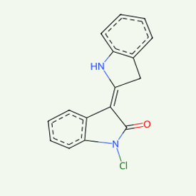 O=C1C(=C2Cc3ccccc3N2)c2ccccc2N1Cl